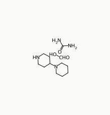 C1CCN(C2CCNCC2)CC1.NC(N)=O.O=CO